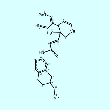 CN/C=C(\C=N)C1C=CNCC1(C)/C=C/C(=O)Nc1ccc2c(c1)CN(CC(F)(F)F)CC2